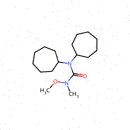 CON(C)C(=O)N(C1CCCCCC1)C1CCCCCC1